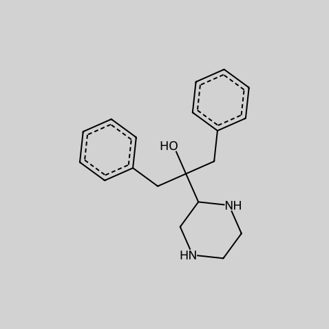 OC(Cc1ccccc1)(Cc1ccccc1)C1CNCCN1